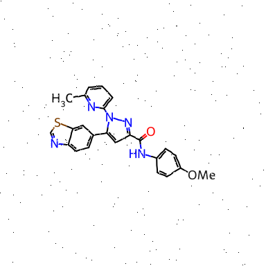 COc1ccc(NC(=O)c2cc(-c3ccc4ncsc4c3)n(-c3cccc(C)n3)n2)cc1